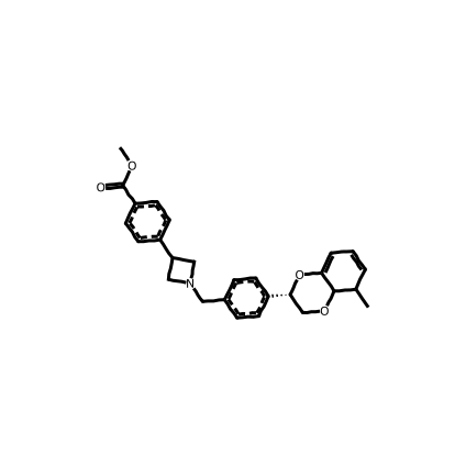 COC(=O)c1ccc(C2CN(Cc3ccc([C@H]4COC5C(=CC=CC5C)O4)cc3)C2)cc1